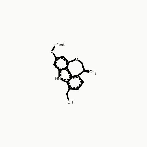 C=C1COc2cc(OCCCCC)cc3[nH]c4c(CO)ccc1c4c23